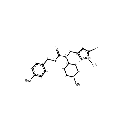 CC(C)COc1ccc(CNC(=O)N(Cc2cc(F)n(C)n2)C2CCN(C)CC2)cc1